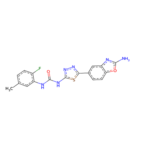 Cc1ccc(F)c(NC(=O)Nc2nnc(-c3ccc4oc(N)nc4c3)s2)c1